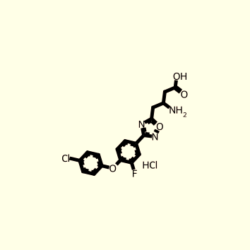 Cl.NC(CC(=O)O)Cc1nc(-c2ccc(Oc3ccc(Cl)cc3)c(F)c2)no1